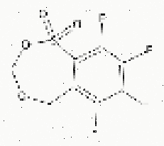 O=S1(=O)OCOCc2c(F)c(F)c(F)c(F)c21